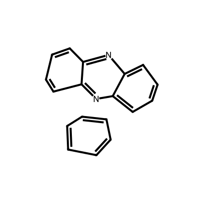 c1ccc2nc3ccccc3nc2c1.c1ccccc1